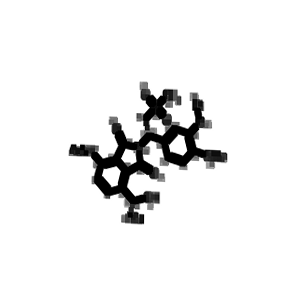 CCCC[C@@H](O)c1ccc(NC(C)=O)c2c1C(=O)N([C@H](CS(C)(=O)=O)c1ccc(OC)c(OCC)c1)C2=O